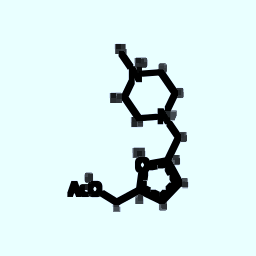 CC(=O)OCc1ccc(CN2CCN(C)CC2)o1